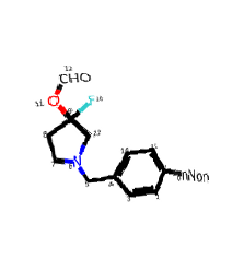 CCCCCCCCCc1ccc(CN2CCC(F)(OC=O)C2)cc1